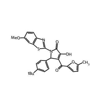 COc1ccc2nc(N3C(=O)C(O)=C(C(=O)c4ccc(C)o4)C3c3ccc(C(C)(C)C)cc3)sc2c1